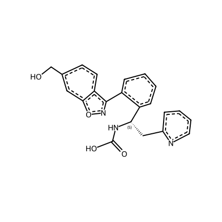 O=C(O)N[C@@H](Cc1ccccn1)c1ccccc1-c1noc2cc(CO)ccc12